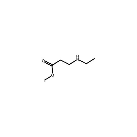 CCNCCC(=O)OI